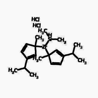 CC(C)C1=C[C](C)([Zr]([SiH](C)C)[C]2(C)C=CC(C(C)C)=C2)C=C1.Cl.Cl